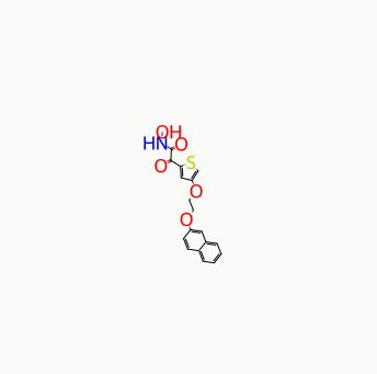 O=C(NO)C(=O)c1cc(OCCOc2ccc3ccccc3c2)cs1